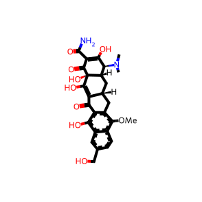 COc1c2c(c(O)c3cc(CO)ccc13)C(=O)C1=C(O)[C@]3(O)C(=O)C(C(N)=O)=C(O)[C@@H](N(C)C)[C@@H]3C[C@@H]1C2